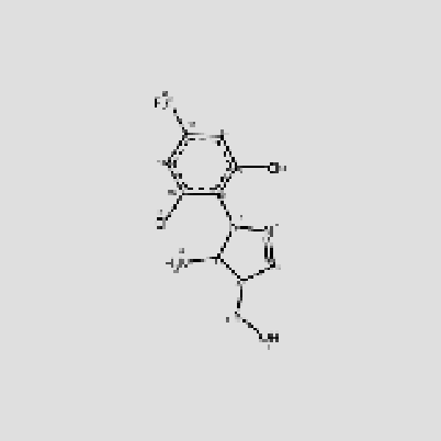 NC1C(SO)C=NN1c1c(Cl)cc(C(F)(F)F)cc1Cl